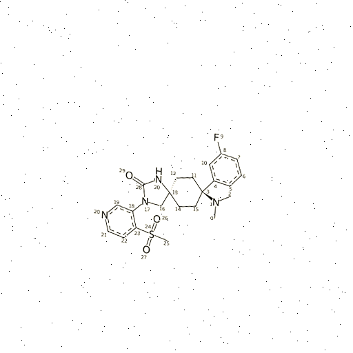 CN(C)[C@]1(c2cccc(F)c2)CC[C@]2(CC1)CN(c1cnccc1S(C)(=O)=O)C(=O)N2